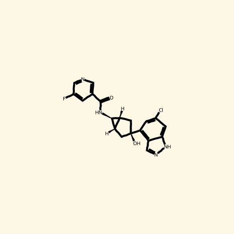 O=C(N[C@H]1[C@@H]2C[C@](O)(c3cc(Cl)cc4[nH]ncc34)C[C@@H]21)c1cncc(F)c1